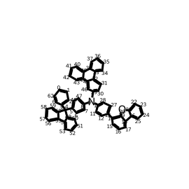 c1ccc(C2(c3ccc(N(c4ccc(-c5cccc6c5oc5ccccc56)cc4)c4ccc5c6ccccc6c6ccccc6c5c4)cc3)c3ccccc3-c3ccccc32)cc1